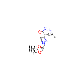 CC(C(N)=O)c1ccn(C[C@@H]2COC(C)(C)O2)n1